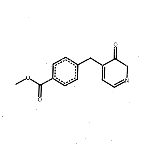 COC(=O)c1ccc(CC2=CC=NCC2=O)cc1